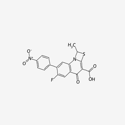 CC1Sc2c(C(=O)O)c(=O)c3cc(F)c(-c4ccc([N+](=O)[O-])cc4)cc3n21